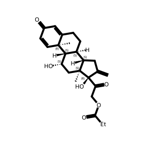 C=C1C[C@H]2[C@@H]3CCC4=CC(=O)C=C[C@]4(C)[C@H]3[C@@H](O)C[C@]2(C)[C@@]1(O)C(=O)COC(=O)CC